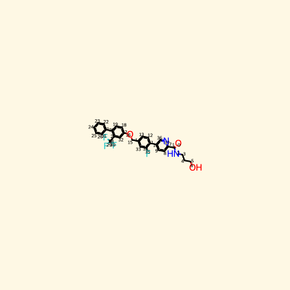 O=C(NCCCO)c1ccc(-c2ccc(COc3ccc(-c4ccccc4)c(C(F)(F)F)c3)cc2F)cn1